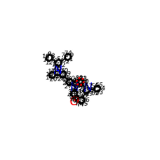 c1ccc(-c2cc(-c3ccccc3)cc(-n3c4ccccc4c4cc(-c5ccc6c(c5)c5ccccc5n6-c5ccc6oc7cccc(-c8cc(-c9ccccc9)nc(-c9ccccc9)c8)c7c6c5)ccc43)c2)cc1